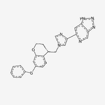 c1ccc(Oc2ccc3c(c2)OCCC3Cn2cnc(-c3cc4[nH]nnc4cn3)c2)cc1